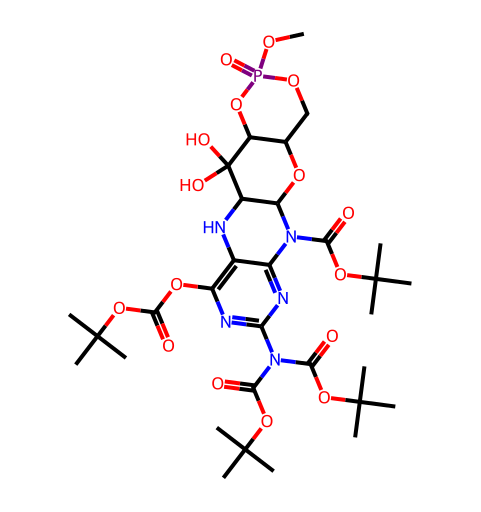 COP1(=O)OCC2OC3C(Nc4c(OC(=O)OC(C)(C)C)nc(N(C(=O)OC(C)(C)C)C(=O)OC(C)(C)C)nc4N3C(=O)OC(C)(C)C)C(O)(O)C2O1